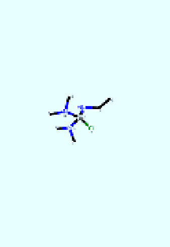 CCN[Si](Cl)(N(C)C)N(C)C